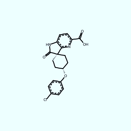 O=C(O)c1ccc2c(n1)[C@]1(CC[C@@H](Oc3ccc(Cl)cc3)CC1)C(=O)N2